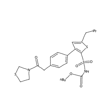 CCCCOC(=O)NS(=O)(=O)c1sc(CC(C)C)cc1-c1ccc(CC(=O)N2CCSC2)cc1